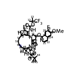 CC[C@@H]1O[C@@H]2C=C([C@H]1NC(=O)OC(C)(C)C(F)(F)F)N1C[C@H](Oc3nccc4cc(OC)c(F)cc34)C[C@H]1C(=O)N[C@]1(C(=O)NS(=O)(=O)C3(C)CC3)C[C@@H]1/C=C\CC2